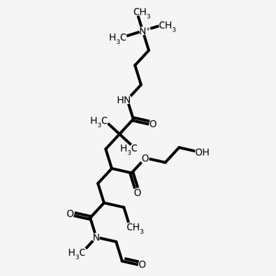 CCC(CC(CC(C)(C)C(=O)NCCC[N+](C)(C)C)C(=O)OCCO)C(=O)N(C)CC=O